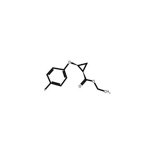 CCOC(=O)[C@@H]1C[C@@H]1Oc1ccc(I)cc1